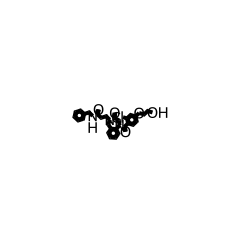 O=C(CCN1Cc2ccccc2N(C(=O)c2ccc(OCCO)cc2Cl)CC1=O)NCc1ccccc1